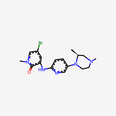 C[C@H]1CN(C)CCN1c1ccc(Nc2cc(Br)cn(C)c2=O)nc1